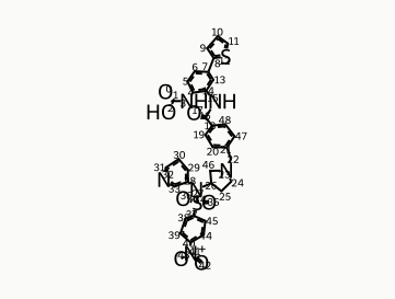 O=C(O)Nc1ccc(-c2cccs2)cc1NC(=O)c1ccc(CN2CCC(N(c3cccnc3)S(=O)(=O)c3ccc([N+](=O)[O-])cc3)C2)cc1